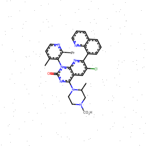 Cc1ccnc(C(C)C)c1-n1c(=O)nc(N2CCN(C(=O)O)CC2C)c2cc(Cl)c(-c3cccc4cccnc34)nc21